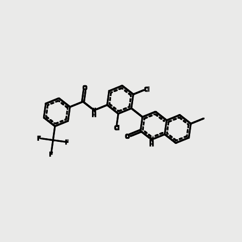 Cc1ccc2[nH]c(=O)c(-c3c(Cl)ccc(NC(=O)c4cccc(C(F)(F)F)c4)c3Cl)cc2c1